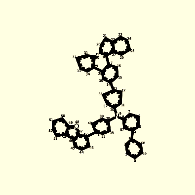 c1ccc(-c2cccc(N(c3ccc(-c4ccc(-c5cccc6ccccc56)c(-c5ccccc5)c4)cc3)c3ccc(-c4cccc5c4oc4ccccc45)cc3)c2)cc1